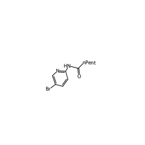 CCCCCC(=O)Nc1ccc(Br)cn1